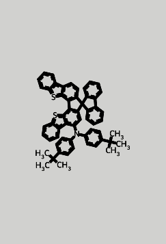 CC(C)(C)c1ccc(N(c2ccc(C(C)(C)C)cc2)c2cc3c(c4sc5ccccc5c24)-c2c(ccc4c2sc2ccccc24)C32c3ccccc3-c3ccccc32)cc1